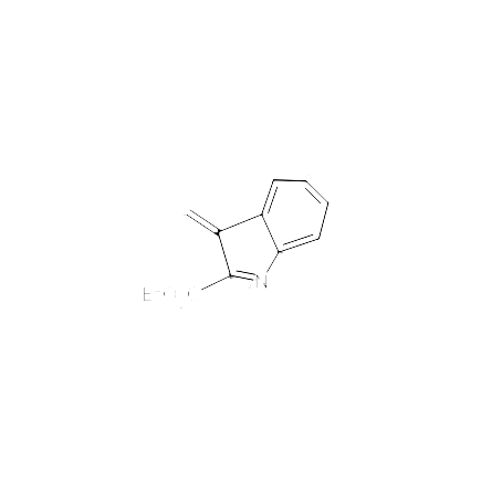 C=C1C(C(=O)OCC)=Nc2ccccc21